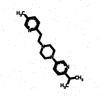 Cc1ccc(CCN2CCN(c3ccc(C(C)C)nc3)CC2)nc1